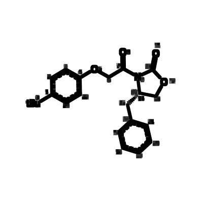 CC(C)(C)c1ccc(OCC(=O)N2C(=O)OC[C@@H]2Cc2ccccc2)cc1